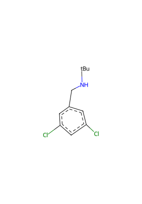 CC(C)(C)NCc1cc(Cl)cc(Cl)c1